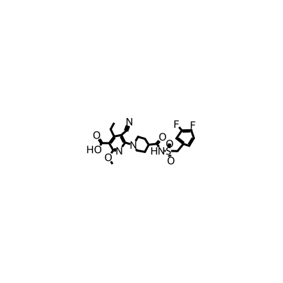 CCc1c(C#N)c(N2CCC(C(=O)NS(=O)(=O)Cc3ccc(F)c(F)c3)CC2)nc(OC)c1C(=O)O